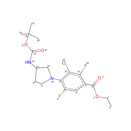 CCOC(=O)c1cc(F)c(N2CCC(NC(=O)OC(C)(C)C)C2)c(Cl)c1F